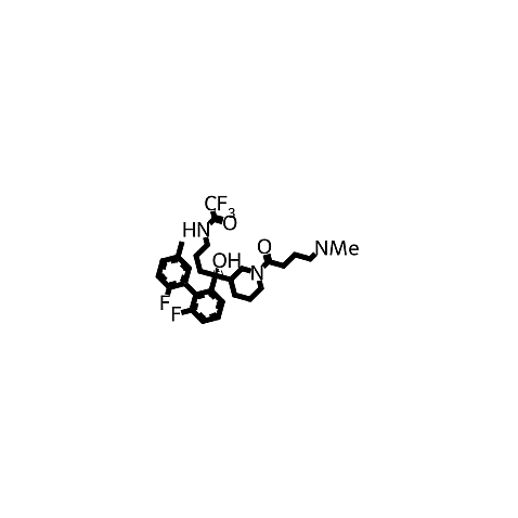 CNCCCC(=O)N1CCCC([C@@](O)(CCCNC(=O)C(F)(F)F)c2cccc(F)c2-c2cc(C)ccc2F)C1